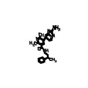 Cc1nc(C)c(-c2ccn3nc(N)nc3c2)cc1C(=O)NCCC(C)c1ccccc1